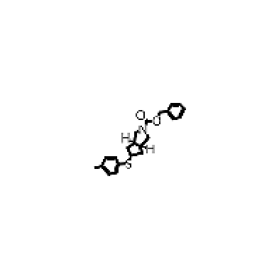 Cc1ccc(S[C@H]2C[C@@H]3CN(C(=O)OCc4ccccc4)C[C@@H]3C2)cc1